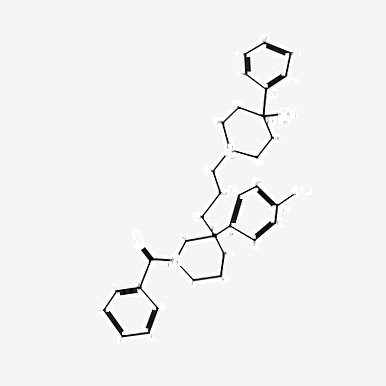 O=C(c1ccccc1)N1CCCC(CCCN2CCC(O)(c3ccccc3)CC2)(c2ccc(F)cc2)C1